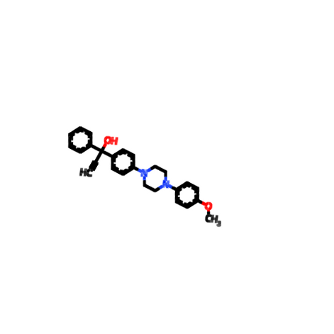 C#CC(O)(c1ccccc1)c1ccc(N2CCN(c3ccc(OC)cc3)CC2)cc1